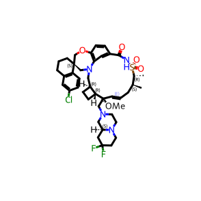 CO[C@]1(CN2CCN3CCC(F)(F)C[C@H]3C2)/C=C/C[C@H](C)[C@@H](C)S(=O)(=O)NC(=O)c2ccc3c(c2)N(C[C@@H]2CC[C@H]21)C[C@@]1(CCCc2cc(Cl)ccc21)CO3